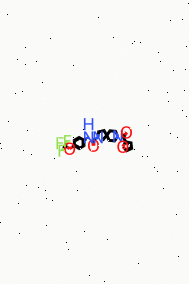 O=C(Nc1ccc(OC(F)(F)F)cc1)N1CCC2(CCN(C(=O)c3ccco3)CC2)C1